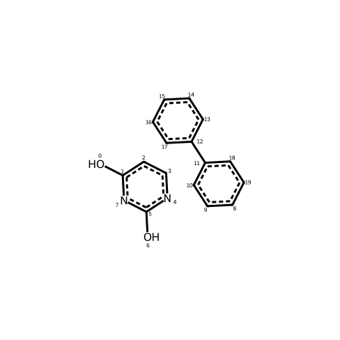 Oc1ccnc(O)n1.c1ccc(-c2ccccc2)cc1